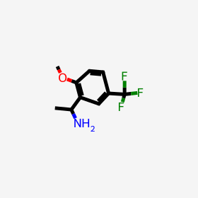 COc1ccc(C(F)(F)F)cc1C(C)N